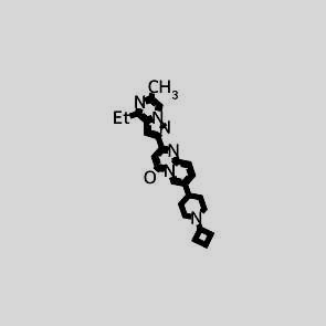 CCc1nc(C)cn2nc(-c3cc(=O)n4cc(C5CCN(C6CCC6)CC5)ccc4n3)cc12